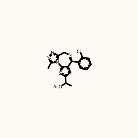 CC(=O)OC(C)c1cc2c(s1)-n1c(C)nnc1CN=C2c1ccccc1Cl